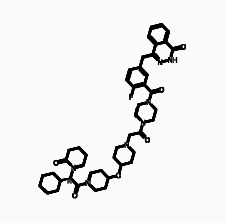 O=C(CN1CCC(OC2CCN(C(=O)[C@@H](C3CCCCC3)N3CCCCC3=O)CC2)CC1)N1CCN(C(=O)c2cc(Cc3n[nH]c(=O)c4ccccc34)ccc2F)CC1